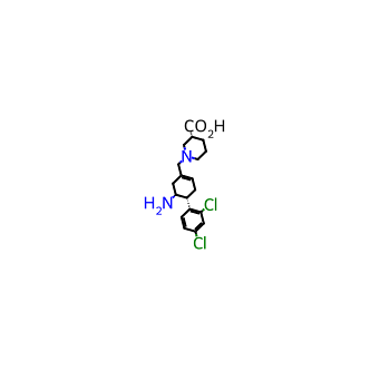 N[C@H]1CC(CN2CCC[C@@H](C(=O)O)C2)=CC[C@@H]1c1ccc(Cl)cc1Cl